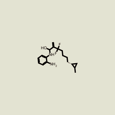 C=C(C(O)Nc1ccccc1N)C(F)(F)CCCC[C@@H]1CC1C